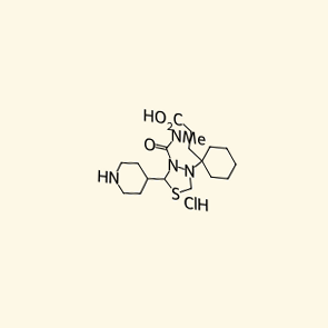 CNC(=O)N1C(C2CCNCC2)SCN1C1(CCC(=O)O)CCCCC1.Cl